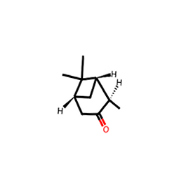 C[C@H]1C(=O)C[C@H]2C[C@@H]1C2(C)C